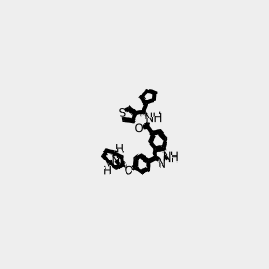 CN1[C@@H]2CC[C@H]1C[C@@H](Oc1ccc(-c3n[nH]c4ccc(C(=O)N[C@@H](c5ccsc5)C5CCCC5)cc34)cc1)C2